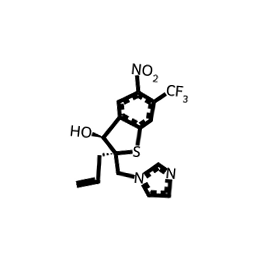 C=CC[C@@]1(Cn2ccnc2)Sc2cc(C(F)(F)F)c([N+](=O)[O-])cc2[C@@H]1O